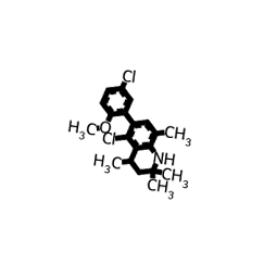 COc1ccc(Cl)cc1-c1cc(C)c2c(c1Cl)C(C)CC(C)(C)N2